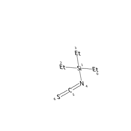 CC[Si](CC)(CC)N=C=S